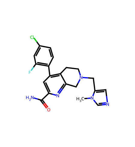 Cn1cncc1CN1CCc2c(-c3ccc(Cl)cc3F)cc(C(N)=O)nc2C1